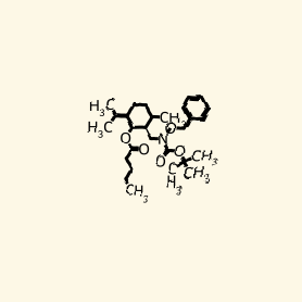 CCCCC(=O)OC1C(C(C)C)CCC(C)[C@H]1CN(OCc1ccccc1)C(=O)OC(C)(C)C